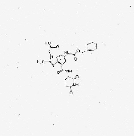 Cc1nc2c(C(=O)NC3CCC(=O)NC3=O)cc(NC(=O)OCc3ccccc3)cc2n1CC(=O)O